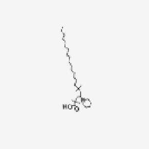 CCCCCCCCCCCCCCCCC(C)(C)CC(CC(C)(C)C(=O)O)N1CCCCC1